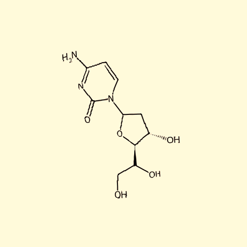 Nc1ccn(C2C[C@H](O)[C@@H](C(O)CO)O2)c(=O)n1